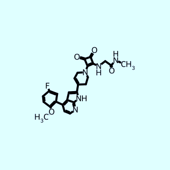 CNC(=O)CNc1c(N2CC=C(c3cc4c(-c5cc(F)ccc5OC)ccnc4[nH]3)CC2)c(=O)c1=O